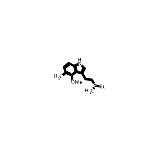 CCN(C)CCc1c[nH]c2ccc(C)c(OC)c12